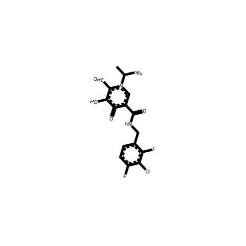 CCCCC(C)n1cc(C(=O)NCc2ccc(F)c(Cl)c2F)c(=O)c(O)c1C=O